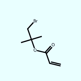 C=CC(=O)OC(C)(C)CBr